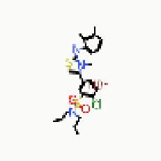 Br.CCCN(CCC)S(=O)(=O)c1cc(-c2csc(=Nc3cccc(C)c3C)n2C)ccc1Cl